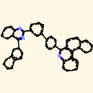 c1cc(-c2ccc(-c3nc4ccccc4c4c3ccc3ccccc34)cc2)cc(-c2nc(-c3ccc4ccccc4c3)c3ccccc3n2)c1